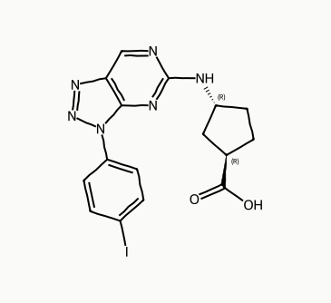 O=C(O)[C@@H]1CC[C@@H](Nc2ncc3nnn(-c4ccc(I)cc4)c3n2)C1